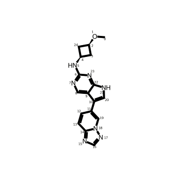 CO[C@H]1C[C@@H](Nc2ncc3c(-c4ccc5ncnn5c4)c[nH]c3n2)C1